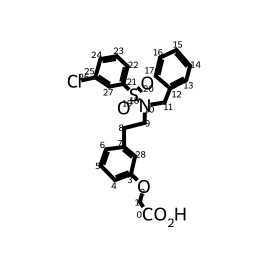 O=C(O)COc1cccc(CCN(Cc2ccccc2)S(=O)(=O)c2cccc(Cl)c2)c1